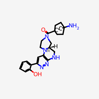 NC12CCC(C(=O)N3CCN4c5cc(-c6ccccc6O)nnc5NC[C@H]4C3)(CC1)CC2